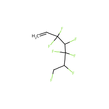 C=CC(F)(F)C(F)C(F)(F)C(F)CF